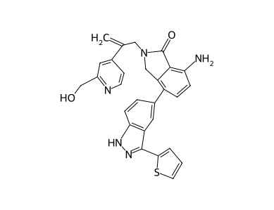 C=C(CN1Cc2c(-c3ccc4[nH]nc(-c5cccs5)c4c3)ccc(N)c2C1=O)c1ccnc(CO)c1